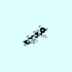 C[C@@H](c1cc(F)cc(F)c1)N1C(=O)[C@@H]2CC1CN2C[C@H](N)C(=O)N1C2C[C@H]2C[C@H]1C#N